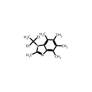 CCC(C)(CC)n1c(C)nc2c(C)c(C)c(C)c(C)c21